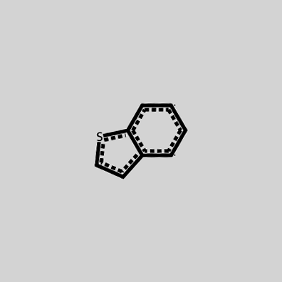 [c]1c[c]c2ccsc2c1